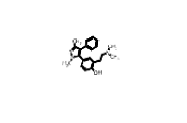 Cc1nn(C)c(-c2ccc(O)c(CCN(C)C)c2)c1-c1ccccc1